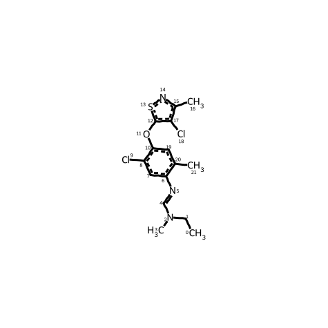 CCN(C)C=Nc1cc(Cl)c(Oc2snc(C)c2Cl)cc1C